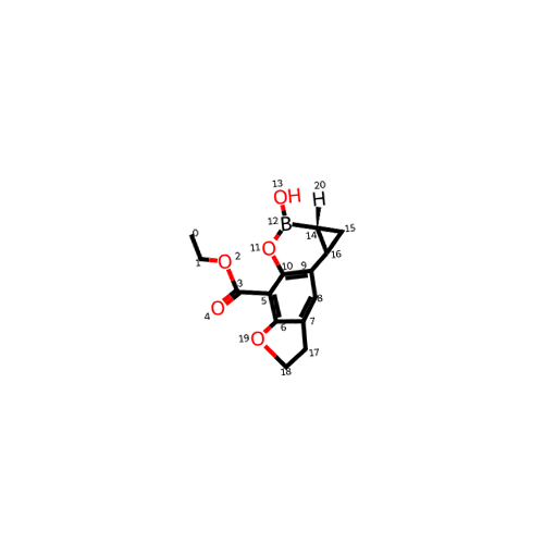 CCOC(=O)c1c2c(cc3c1OB(O)[C@@H]1CC31)CCO2